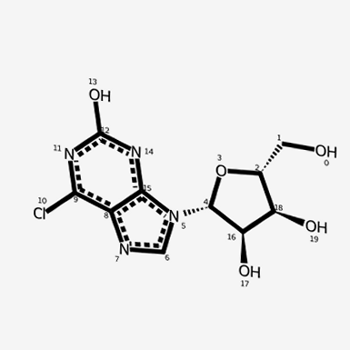 OC[C@H]1O[C@@H](n2cnc3c(Cl)nc(O)nc32)[C@H](O)[C@@H]1O